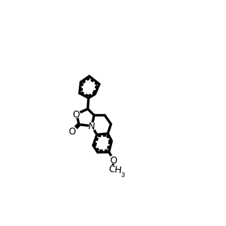 COc1ccc2c(c1)CCC1C(c3ccccc3)OC(=O)N21